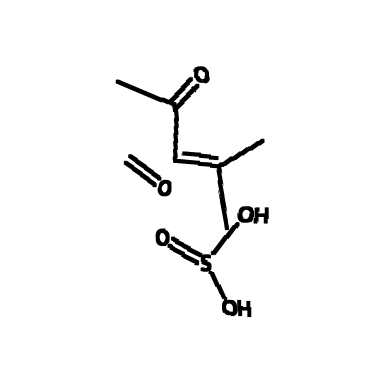 C=O.CC(=O)C=C(C)C.O=S(O)O